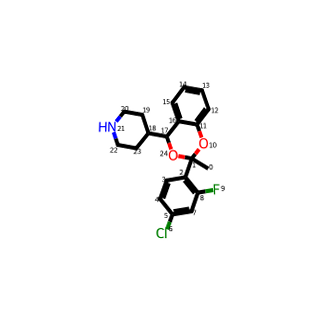 CC1(c2ccc(Cl)cc2F)Oc2ccccc2C(C2CCNCC2)O1